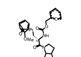 COC1=CC2=CC=C1C2=O.COC1CNC2CCN(C(=O)[C@H](CC(C)C)NC(=O)OCc3ccccc3)C21